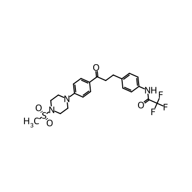 CS(=O)(=O)N1CCN(c2ccc(C(=O)CCc3ccc(NC(=O)C(F)(F)F)cc3)cc2)CC1